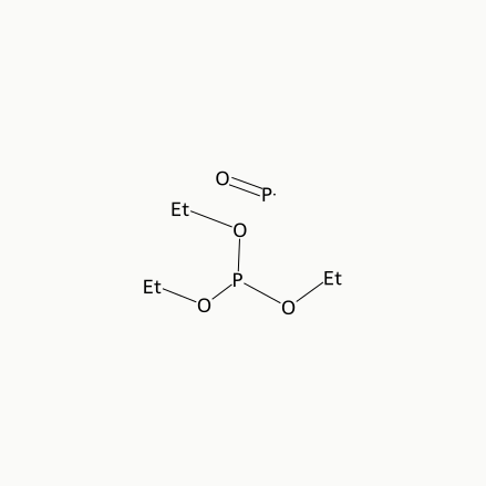 CCOP(OCC)OCC.O=[P]